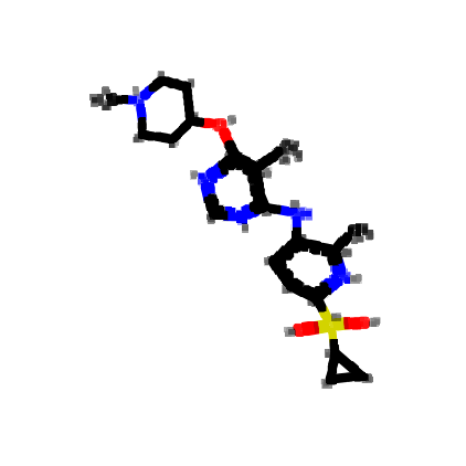 BN1CCC(Oc2ncnc(Nc3ccc(S(=O)(=O)C4CC4)nc3C)c2C)CC1